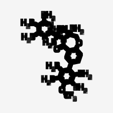 Bc1nc(C(B)(B)N2C(=O)c3cc(-c4c(B)c(B)c(OC(F)(F)F)c(B)c4B)ccc3OCC2(B)B)nc(B)c1B